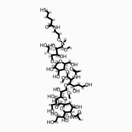 CO[C@@H](OC(C(NC(C)=O)[C@@H](OC)O[C@H]1C(CO)O[C@@H](O[C@H](CCO)C(O)C(O)[C@@H](OC)N(C)OCCNC(=O)CCCS)C(O)C1O)[C@@H](O)CCO)C(O)C(O[C@]1(C(=O)O)CC(O)[C@@H](NC(C)=O)C(C(O)[C@H](O)CO)O1)[C@@H](O)CCO